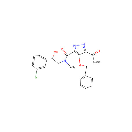 COC(=O)c1n[nH]c(C(=O)N(C)CC(O)c2cccc(Br)c2)c1OCc1ccccc1